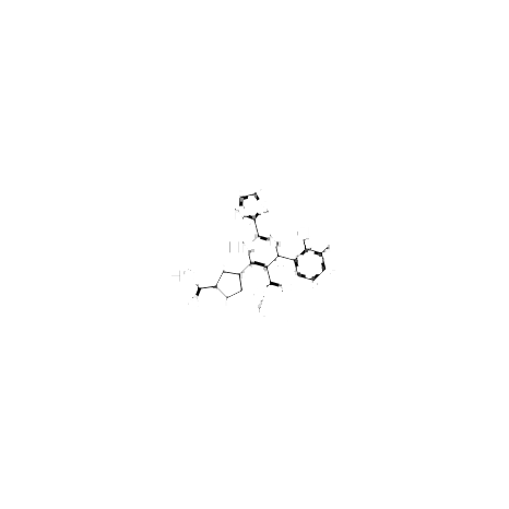 COC(=O)C1=C(C2CCC(C(=O)O)C2)NC(c2nccs2)=NC1c1cccc(F)c1Cl